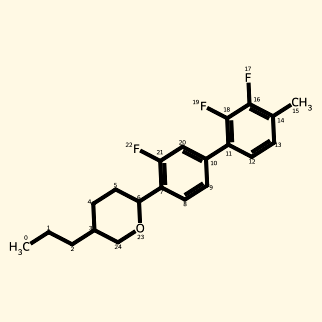 CCCC1CCC(c2ccc(-c3ccc(C)c(F)c3F)cc2F)OC1